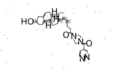 C[C@H](CCC(=O)N1CCN(C(=O)c2ccnnc2)CC1)[C@H]1CC[C@H]2[C@@H]3CC=C4C[C@@H](O)CC[C@]4(C)[C@H]3CC[C@]12C